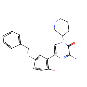 Nc1nc(-c2cc(OCc3ccccc3)ccc2O)cn(C2CCCNC2)c1=O